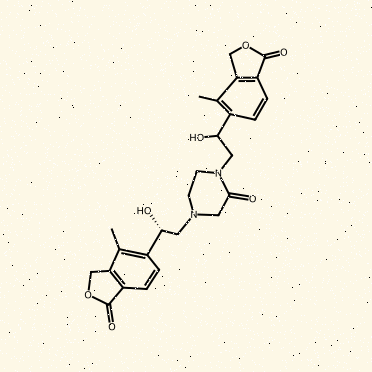 Cc1c(C(O)CN2CCN(C[C@@H](O)c3ccc4c(c3C)COC4=O)CC2=O)ccc2c1COC2=O